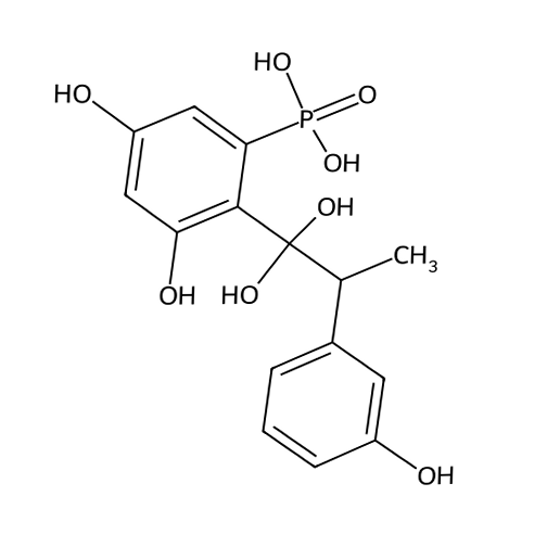 CC(c1cccc(O)c1)C(O)(O)c1c(O)cc(O)cc1P(=O)(O)O